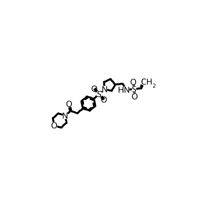 C=CS(=O)(=O)NCC1CCN(S(=O)(=O)c2ccc(CC(=O)N3CCOCC3)cc2)C1